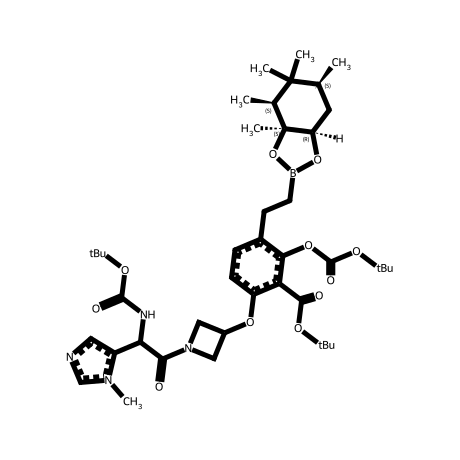 C[C@H]1C[C@H]2OB(CCc3ccc(OC4CN(C(=O)C(NC(=O)OC(C)(C)C)c5cncn5C)C4)c(C(=O)OC(C)(C)C)c3OC(=O)OC(C)(C)C)O[C@@]2(C)[C@@H](C)C1(C)C